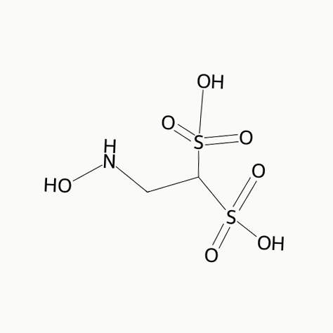 O=S(=O)(O)C(CNO)S(=O)(=O)O